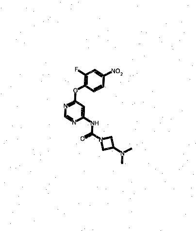 CN(C)C1CN(C(=O)Nc2cc(Oc3ccc([N+](=O)[O-])cc3F)ncn2)C1